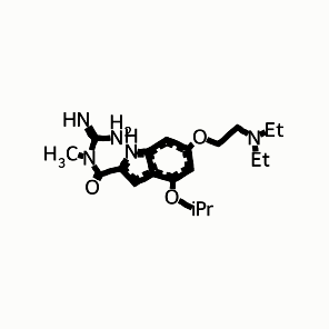 CCN(CC)CCOc1cc(OC(C)C)c2cc(C(=O)N(C)C(=N)N)[nH]c2c1